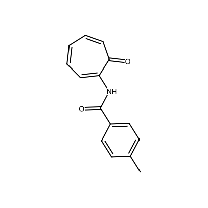 Cc1ccc(C(=O)Nc2cccccc2=O)cc1